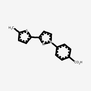 Cc1ccc(-c2ccn(-c3ccc(C(=O)O)cc3)n2)s1